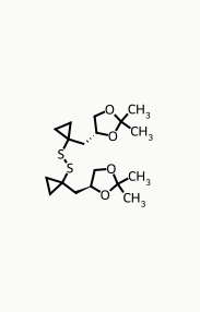 CC1(C)OC[C@H](CC2(SSC3(C[C@@H]4COC(C)(C)O4)CC3)CC2)O1